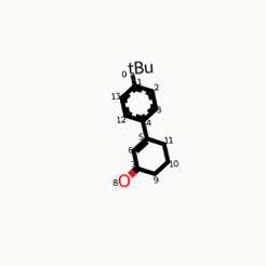 CC(C)(C)c1ccc(C2=CC(=O)CCC2)cc1